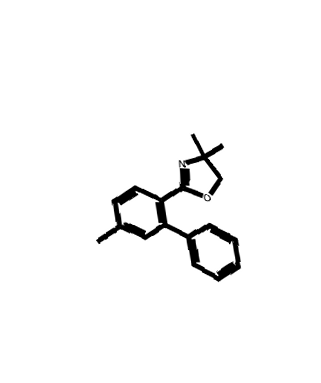 Cc1ccc(C2=NC(C)(C)CO2)c(-c2ccccc2)c1